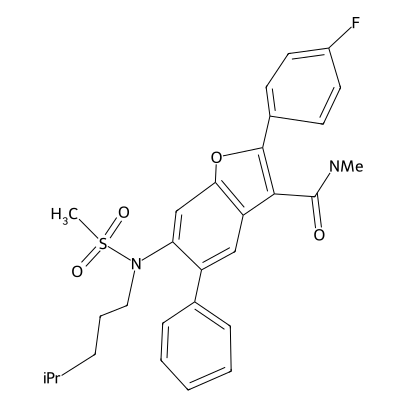 CNC(=O)c1c(-c2ccc(F)cc2)oc2cc(N(CCCC(C)C)S(C)(=O)=O)c(-c3ccccc3)cc12